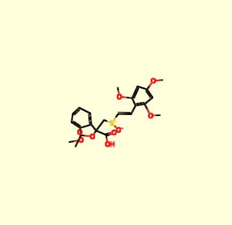 COc1cc(OC)c(C=C[S+]([O-])CC(OC(C)=O)(C(=O)O)c2ccccc2OC)c(OC)c1